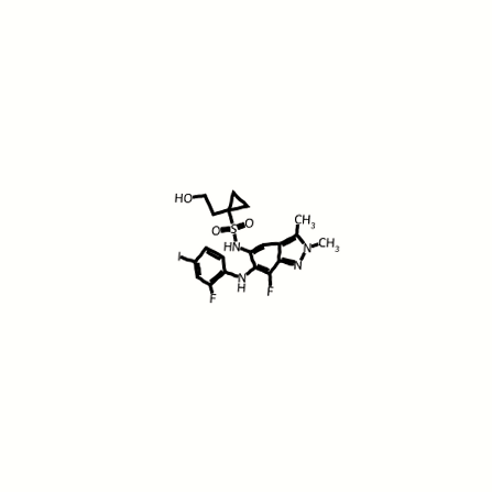 Cc1c2cc(NS(=O)(=O)C3(CCO)CC3)c(Nc3ccc(I)cc3F)c(F)c2nn1C